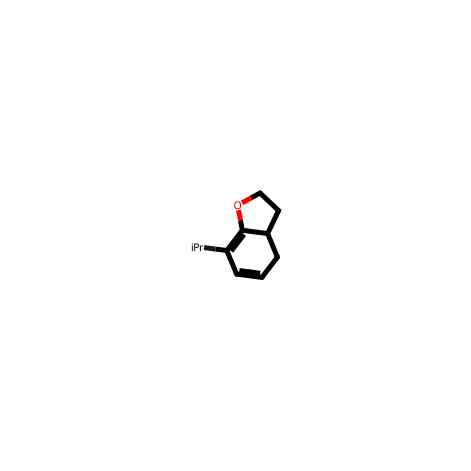 CC(C)C1=C2OCCC2CC=C1